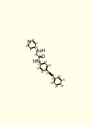 O=C(C[AsH]c1ccncc1)Nc1ccc(C#Cc2ccccc2)cc1